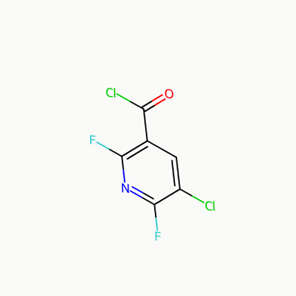 O=C(Cl)c1cc(Cl)c(F)nc1F